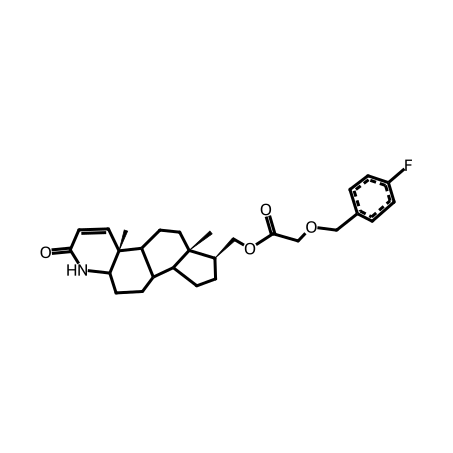 C[C@]12C=CC(=O)NC1CCC1C2CC[C@@]2(C)C1CC[C@@H]2COC(=O)COCc1ccc(F)cc1